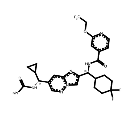 CCCC(=O)N[C@@H](c1cnn2cc([C@@H](NC(=O)c3ccnc(OCC(F)(F)F)c3)C3CCC(F)(F)CC3)nc2c1)C1CC1